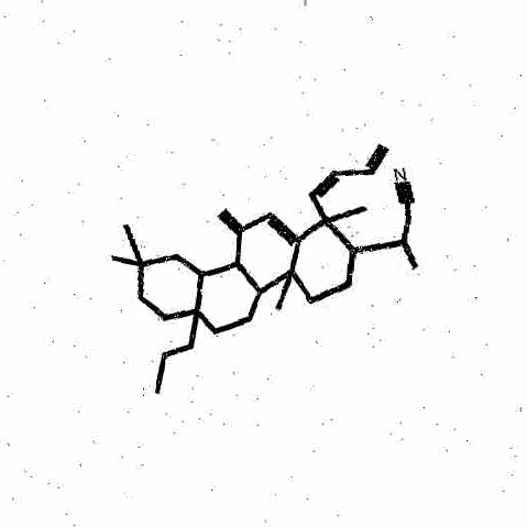 C=C/C=C\C1(C)C2=CC(=C)C3C4CC(C)(C)CCC4(CCC)CCC3C2(C)CCC1C(C)C#N